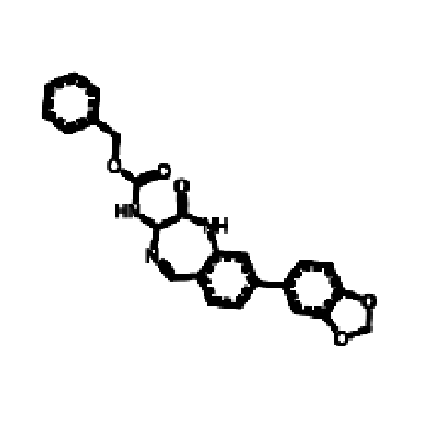 O=C(NC1N=Cc2ccc(-c3ccc4c(c3)OCO4)cc2NC1=O)OCc1ccccc1